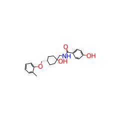 Cc1ccccc1OC[C@H]1CC[C@@](O)(CNC(=O)c2ccc(O)cc2)CC1